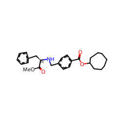 COC(=O)[C@@H](Cc1ccccc1)NCc1ccc(C(=O)OC2CCCCCCC2)cc1